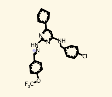 FC(F)(F)Oc1ccc(/C=N/Nc2nc(NCc3ccc(Cl)cc3)cc(-c3ccccc3)n2)cc1